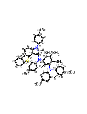 Bc1c(B)c(N(c2ccc(C(C)(C)C)cc2)c2ccc(C(C)(C)C)cc2C)c(C)c(N(c2ccc(C(C)(C)C)cc2)c2c(C)n(-c3ccc(C(C)(C)C)cc3)c3ccc4c5ccccc5sc4c23)c1B